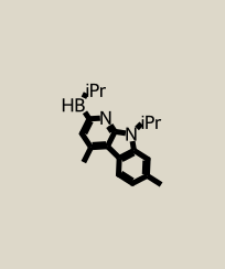 Cc1ccc2c3c(C)cc(BC(C)C)nc3n(C(C)C)c2c1